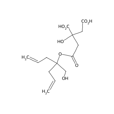 C=CCC(CO)(CC=C)OC(=O)CC(O)(CC(=O)O)C(=O)O